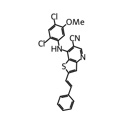 COc1cc(Nc2c(C#N)cnc3cc(/C=C/c4ccccc4)sc23)c(Cl)cc1Cl